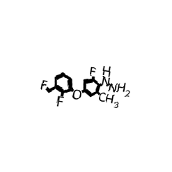 Cc1cc(Oc2cccc(CF)c2F)cc(F)c1NN